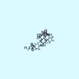 CS(=O)(=O)N1CCC(NC2=CN(C3CCCC3)C3=NC(N)(NN)NC(=O)C3=N2)CC1